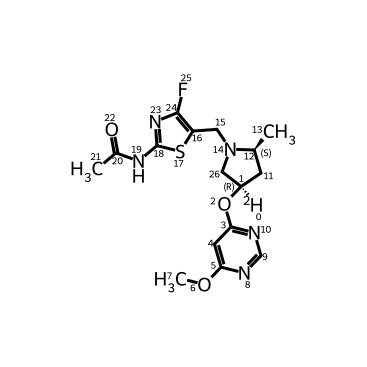 [2H][C@@]1(Oc2cc(OC)ncn2)C[C@H](C)N(Cc2sc(NC(C)=O)nc2F)C1